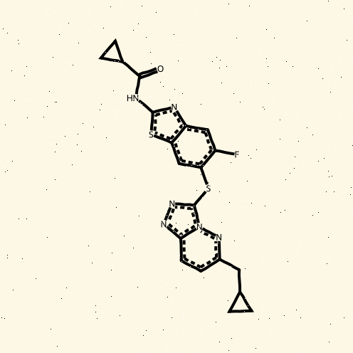 O=C(Nc1nc2cc(F)c(Sc3nnc4ccc(CC5CC5)nn34)cc2s1)C1CC1